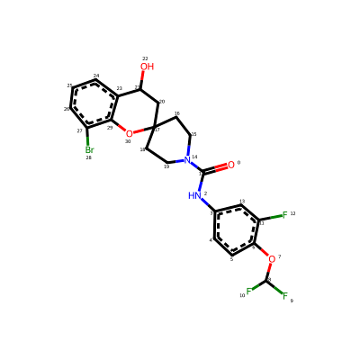 O=C(Nc1ccc(OC(F)F)c(F)c1)N1CCC2(CC1)CC(O)c1cccc(Br)c1O2